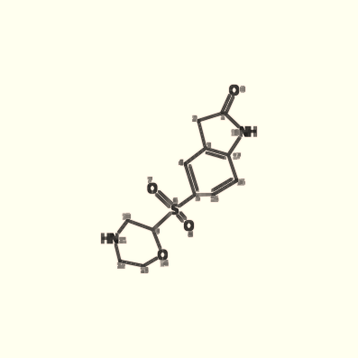 O=C1Cc2cc(S(=O)(=O)C3CNCCO3)ccc2N1